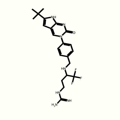 CC(C)(C)c1cc2cn(-c3ccc(CNC(CCNC(=N)N)C(F)(F)F)cc3)c(=O)nc2[nH]1